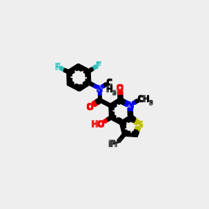 CC(C)c1csc2c1c(O)c(C(=O)N(C)c1ccc(F)cc1F)c(=O)n2C